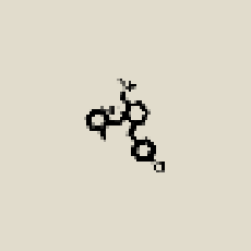 Cc1ccccc1CC1(O)C(=Cc2ccc(Cl)cc2)CCCC1CN(C)C